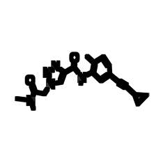 Cc1ccc(C#CC2CC2)cc1N(C)C(=O)c1cn(CC(=O)N(C)C)nn1